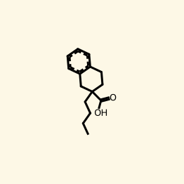 CCCCC1(C(=O)O)CCc2ccccc2C1